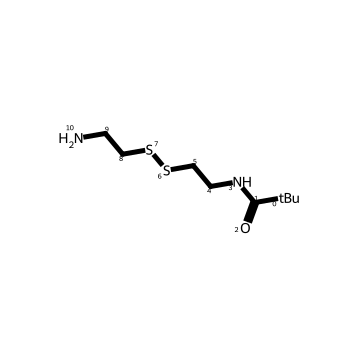 CC(C)(C)C(=O)NCCSSCCN